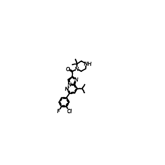 CC(C)c1cc(-c2ccc(F)c(Cl)c2)nn2cc(C(=O)N3CCNCC3(C)C)nc12